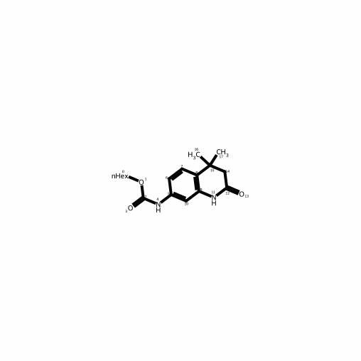 CCCCCCOC(=O)Nc1ccc2c(c1)NC(=O)CC2(C)C